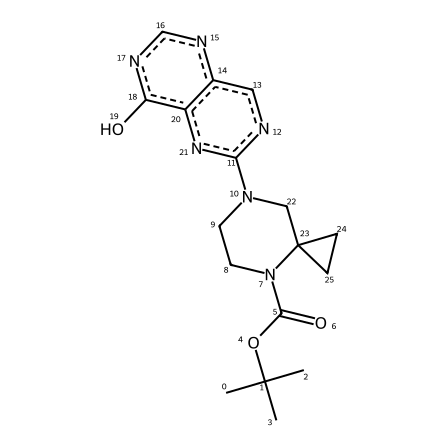 CC(C)(C)OC(=O)N1CCN(c2ncc3ncnc(O)c3n2)CC12CC2